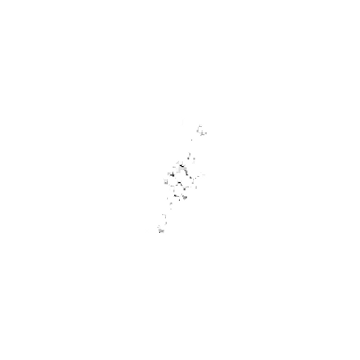 CN(C)CCCNC(=O)C(CS)C(C(N)=O)(C(N)=O)C(CS)C(=O)NCCCN(C)C